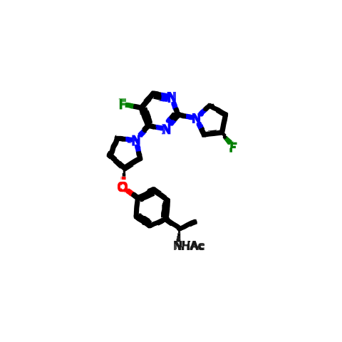 CC(=O)N[C@@H](C)c1ccc(O[C@@H]2CCN(c3nc(N4CC[C@@H](F)C4)ncc3F)C2)cc1